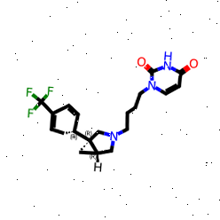 O=c1ccn(CCCCN2C[C@@H]3C[C@]3([C@H]3C=CC(C(F)(F)F)=CC3)C2)c(=O)[nH]1